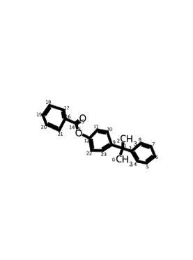 CC(C)(c1ccccc1)c1ccc(OC(=O)c2ccccc2)cc1